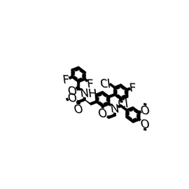 COC(=O)[C@H](Cc1ccc(-c2c(Cl)cc(F)cc2Cl)c2c1OCCN2Cc1ccc(OC)c(OC)c1)NC(=O)c1c(F)cccc1F